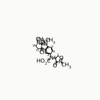 CN1OC[C@H](N(C(=O)O)c2ccc3c(c2)[C@]2(C)CCN(C)[C@@H]2N3C)C1=O